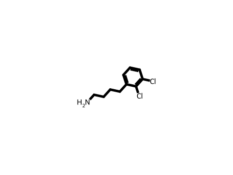 NCCCCc1cccc(Cl)c1Cl